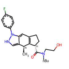 CCCCN(CCO)C(=O)[C@H]1CCC2=C1[C@@H](C)C1=CNN(c3ccc(F)cc3)C1=C2